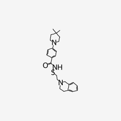 CC1(C)CCN(c2ccc(C(=O)NSCCN3CCc4ccccc4C3)cc2)CC1